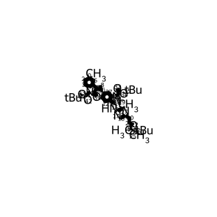 Cc1ccc2c(c1)[C@]1(C[C@H]1c1ccc3c(Nc4ncc(CCO[Si](C)(C)C(C)(C)C)nc4C)nn(C(=O)OC(C)(C)C)c3c1)C(=O)N2C(=O)OC(C)(C)C